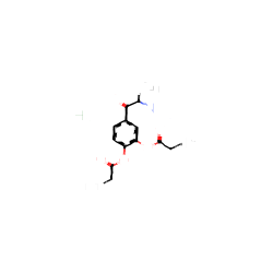 CC(C)CC(=O)Oc1ccc(C(=O)C(N)C(C)(C)C)cc1OC(=O)CC(C)C.Cl